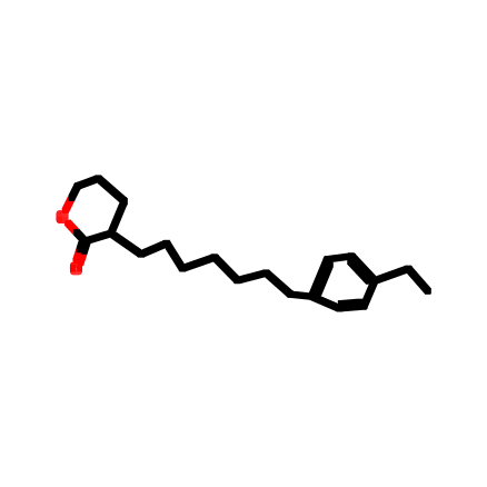 CCc1ccc(CCCCCCCC2CCCOC2=O)cc1